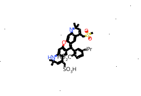 CC(C)c1ccc(C(=O)O)c(C2=c3cc4c(cc3Oc3cc5c(cc32)C(CS(=O)(=O)O)=CC(C)(C)N5)=NC(C)(C)C=C4CS(C)(=O)=O)c1